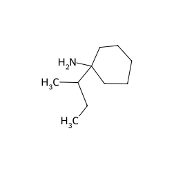 CCC(C)C1(N)CCCCC1